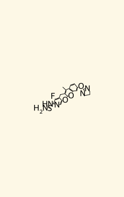 Cc1c(Cc2ccnc(NSN)c2F)c(=O)oc2cc(OC3=NCCC=N3)ccc12